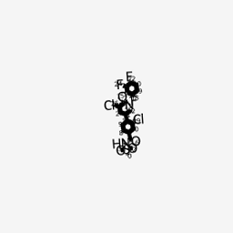 CS(=O)(=O)NC(=O)c1ccc(-c2cnc(Oc3c(F)ccc(F)c3F)c(Cl)c2)c(Cl)c1